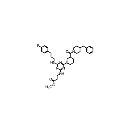 COC(=O)CCNc1nc(NCCCc2ccc(F)cc2)nc(N2CCCC(C(=O)N3CCC(Cc4ccccc4)CC3)C2)n1